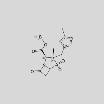 BOC(=O)[C@@H]1N2C(=O)CC2S(=O)(=O)[C@@]1(C)Cn1cnc(C)c1